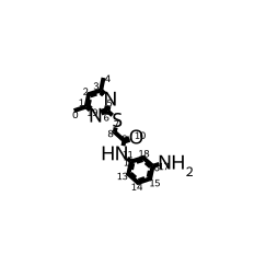 Cc1cc(C)nc(SCC(=O)Nc2cccc(N)c2)n1